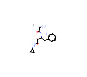 CC(C)[C@H](N)C(=O)NC(Cc1ccccc1)C(O)C(=O)NC1CC1